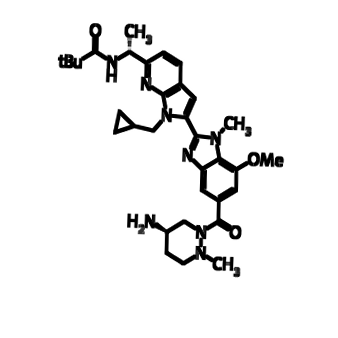 COc1cc(C(=O)N2C[C@H](N)CCN2C)cc2nc(-c3cc4ccc([C@@H](C)NC(=O)C(C)(C)C)nc4n3CC3CC3)n(C)c12